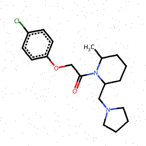 CC1CCCC(CN2CCCC2)N1C(=O)COc1ccc(Cl)cc1